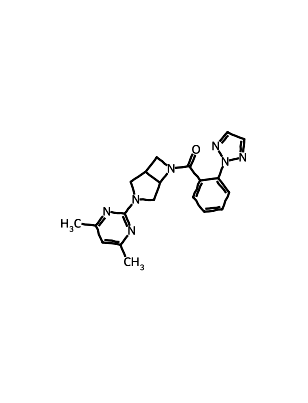 Cc1cc(C)nc(N2CC3CN(C(=O)c4ccccc4-n4nccn4)C3C2)n1